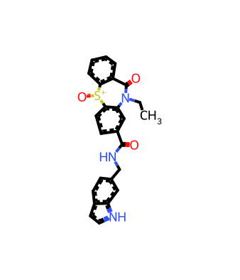 CCN1C(=O)c2ccccc2[S+]([O-])c2ccc(C(=O)NCc3ccc4cc[nH]c4c3)cc21